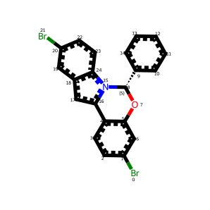 Brc1ccc2c(c1)O[C@@H](c1ccccc1)n1c-2cc2cc(Br)ccc21